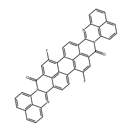 O=c1c2cc(F)c3c4ccc5c6c(cc(F)c(c7ccc(c2c73)c2nc3cccc7cccc(c73)n12)c46)c(=O)n1c2cccc3cccc(nc51)c32